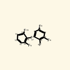 Fc1[c]c(F)c(F)cc1.Fc1[c]ccc(F)c1F